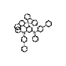 c1ccc(-c2ccc(N(c3ccccc3)c3cc(N(c4ccccc4)c4ccc(-c5ccccc5)cc4)c4c(c3)C3(c5ccccc5-c5ccccc53)c3ccc5ccccc5c3-4)cc2)cc1